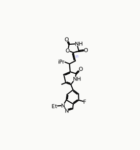 CCn1ncc2c(F)cc(-c3[nH]c(=O)c(C(/C=C4\OC(=O)NC4=O)C(C)C)cc3C)cc21